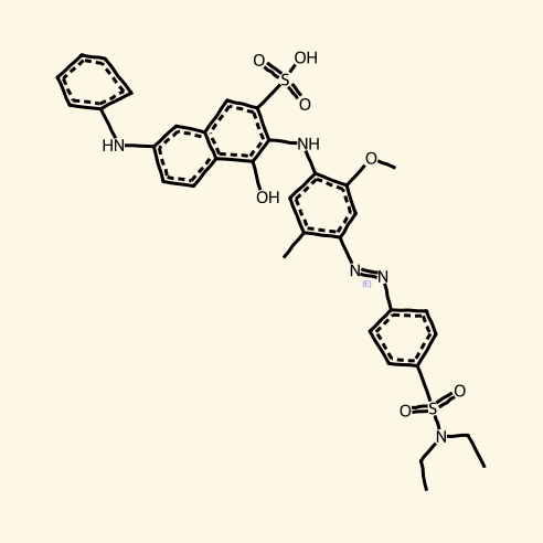 CCN(CC)S(=O)(=O)c1ccc(/N=N/c2cc(OC)c(Nc3c(S(=O)(=O)O)cc4cc(Nc5ccccc5)ccc4c3O)cc2C)cc1